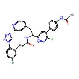 COC(=O)Nc1ccc(-c2cc(C(Cc3ccncc3)NC(=O)/C=C/c3cc(Cl)ccc3-n3cnnn3)nnc2Cl)cc1